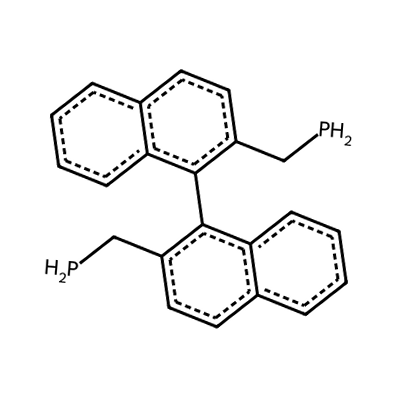 PCc1ccc2ccccc2c1-c1c(CP)ccc2ccccc12